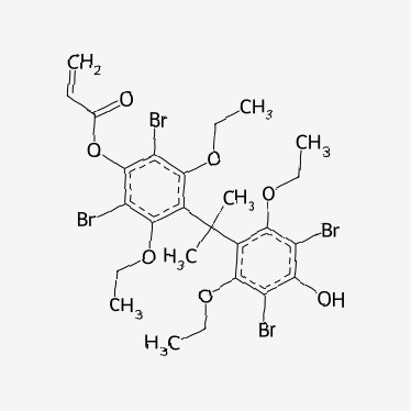 C=CC(=O)Oc1c(Br)c(OCC)c(C(C)(C)c2c(OCC)c(Br)c(O)c(Br)c2OCC)c(OCC)c1Br